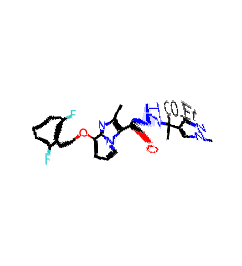 CCOC(=O)C(C)(NC(=O)c1c(C)nc2c(OCc3c(F)cccc3F)cccn12)c1cnn(C)c1